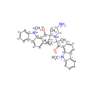 Cn1c2ccccc2c2cccc(C(=O)C(C)(C)N(CCN)C(C)(C)C(=O)c3cccc4c5ccccc5n(C)c34)c21